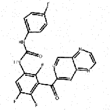 O=C(Nc1ccc(F)cc1)Nc1cc(F)c(F)c(C(=O)c2cc3nccnc3cn2)c1F